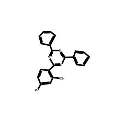 CCCc1ccc(-c2nc(-c3ccccc3)nc(-c3ccccc3)n2)c(O)c1